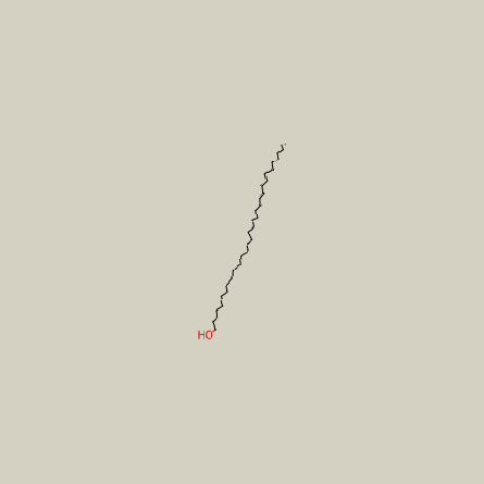 [CH2]CCCCCCCCCCCCCCCCCCCCCCCCCCCCCCCO